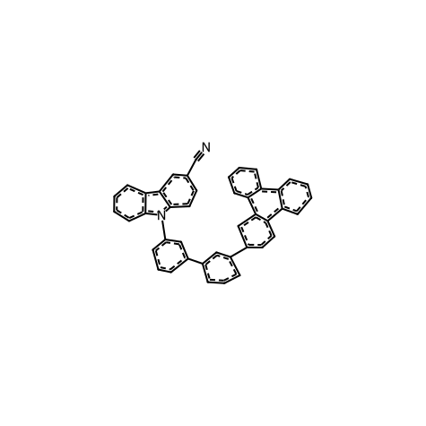 N#Cc1ccc2c(c1)c1ccccc1n2-c1cccc(-c2cccc(-c3ccc4c5ccccc5c5ccccc5c4c3)c2)c1